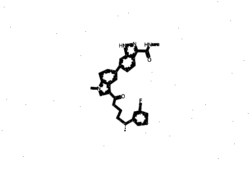 CNC(=O)c1n[nH]c2cc(-c3ccc4c(c3)c(C(=O)CCC[C@@H](C)c3cccc(F)c3)cn4C)ccc12